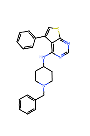 c1ccc(CN2CCC(Nc3ncnc4scc(-c5ccccc5)c34)CC2)cc1